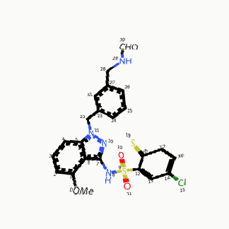 COc1cccc2c1c(NS(=O)(=O)C1=CC(Cl)=CCC1=S)nn2Cc1cccc(CNC=O)c1